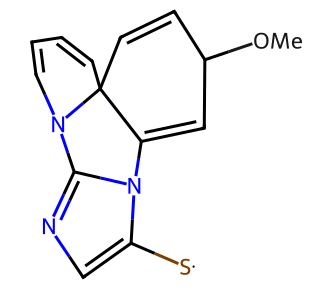 COC1C=CC23C=CC=CN2c2ncc([S])n2C3=C1